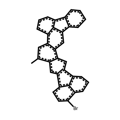 Cc1cc2c(cc3c4ccccc4c4cccc2c43)c2cc3c(cc12)c1ccc(Br)c2cccc3c21